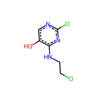 Oc1cnc(Cl)nc1NCCCl